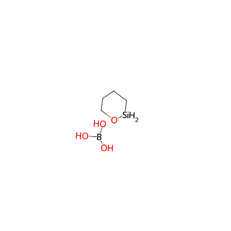 C1CC[SiH2]OC1.OB(O)O